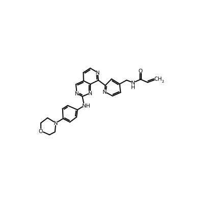 C=CC(=O)NCc1ccnc(-c2nccc3cnc(Nc4ccc(N5CCOCC5)cc4)nc23)c1